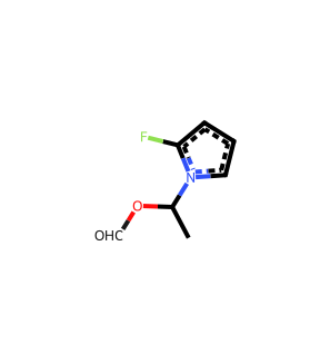 CC(OC=O)n1cccc1F